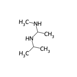 CNC(C)NC(C)C